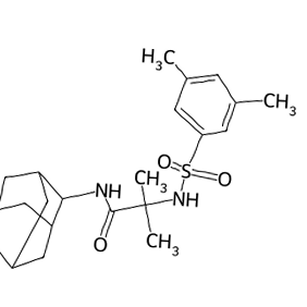 Cc1cc(C)cc(S(=O)(=O)NC(C)(C)C(=O)NC2C3CC4CC(C3)CC2C4)c1